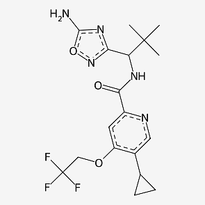 CC(C)(C)C(NC(=O)c1cc(OCC(F)(F)F)c(C2CC2)cn1)c1noc(N)n1